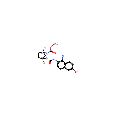 CC(C)(C)OC(=O)N1[C@H]2CC[C@H](C2)[C@H]1C(=O)Nc1ccc2cc(Br)ccc2c1N